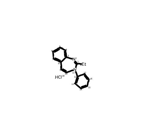 CCC1=Nc2ccccc2C=CN1c1ccccc1.Cl